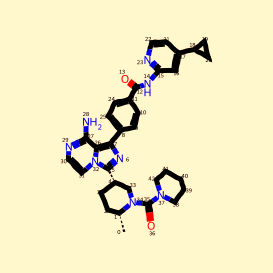 C[C@@H]1CC[C@H](c2nc(-c3ccc(C(=O)Nc4cc(C5CC5)ccn4)cc3)c3c(N)nccn23)CN1C(=O)N1CCCCC1